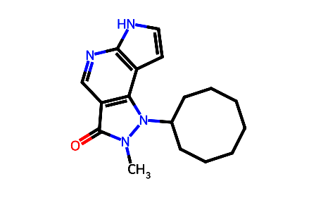 Cn1c(=O)c2cnc3[nH]ccc3c2n1C1CCCCCCC1